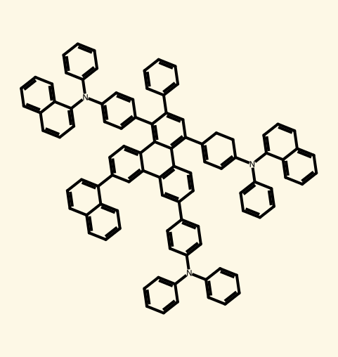 C1=C(c2cc(-c3ccccc3)c(-c3ccc(N(c4ccccc4)c4cccc5ccccc45)cc3)c3c4ccc(-c5cccc6ccccc56)cc4c4cc(-c5ccc(N(c6ccccc6)c6ccccc6)cc5)ccc4c23)CCC(N(c2ccccc2)c2cccc3ccccc23)=C1